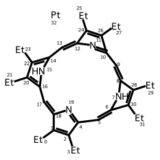 CCC1=C(CC)c2cc3[nH]c(cc4nc(cc5[nH]c(cc1n2)c(CC)c5CC)C(CC)=C4CC)c(CC)c3CC.[Pt]